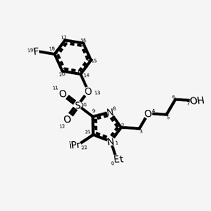 CCn1c(COCCO)nc(S(=O)(=O)Oc2cccc(F)c2)c1C(C)C